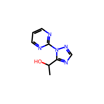 CC(O)c1ncnn1-c1ncccn1